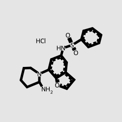 Cl.NC1CCCCN1c1cc(NS(=O)(=O)c2ccccc2)cc2ccoc12